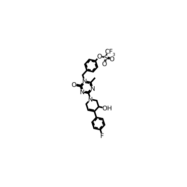 Cc1nc(N2CC=C(c3ccc(F)cc3)C(O)C2)nc(=O)n1Cc1ccc(OS(=O)(=O)C(F)(F)F)cc1